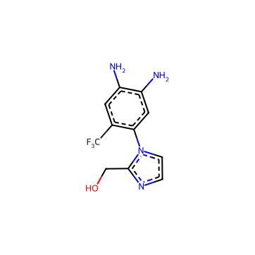 Nc1cc(-n2ccnc2CO)c(C(F)(F)F)cc1N